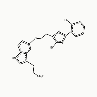 CCc1sc(-c2ccccc2Cl)nc1CCOc1ccc2[nH]cc(CCC(=O)O)c2c1